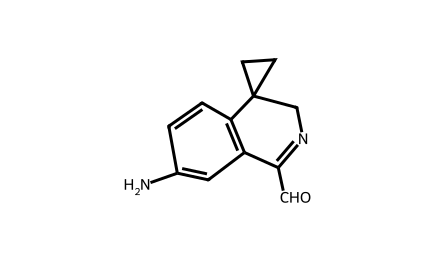 Nc1ccc2c(c1)C(C=O)=NCC21CC1